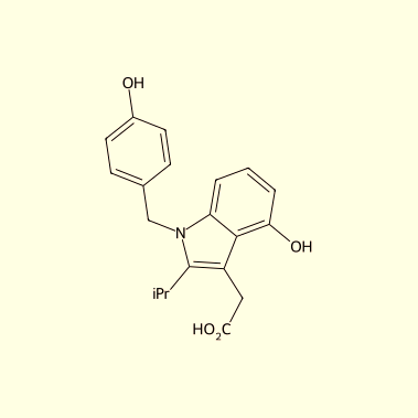 CC(C)c1c(CC(=O)O)c2c(O)cccc2n1Cc1ccc(O)cc1